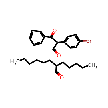 CCCCCCC(C=O)CCCCC.O=CC(C(=O)c1ccccc1)c1ccc(Br)cc1